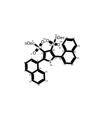 CCCCCCCCCCS(=O)(=O)c1c(-c2cccc3ccccc23)sc(-c2cccc3ccccc23)c1S(=O)(=O)CCCCCCCCCC